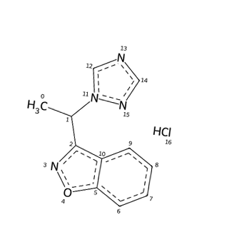 CC(c1noc2ccccc12)n1cncn1.Cl